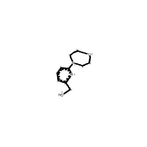 OCc1cccc(N2CCOCC2)n1